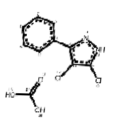 Clc1[nH]nc(-c2ccccc2)c1Cl.O=C(O)O